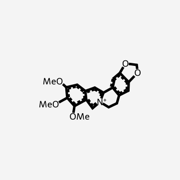 COc1cc2cc3[n+](cc2c(OC)c1OC)CCc1cc2c(cc1-3)OCO2